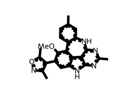 COc1c(-c2c(C)noc2C)cc2[nH]c3nc(C)nc4[nH]c5cc(C)ccc5c1c2c43